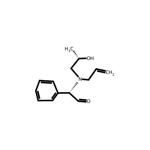 C=CCN(C[C@H](C)O)[C@H](C=O)c1ccccc1